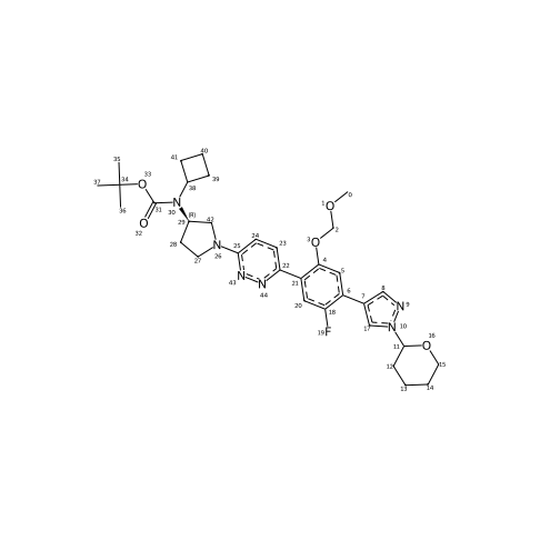 COCOc1cc(-c2cnn(C3CCCCO3)c2)c(F)cc1-c1ccc(N2CC[C@@H](N(C(=O)OC(C)(C)C)C3CCC3)C2)nn1